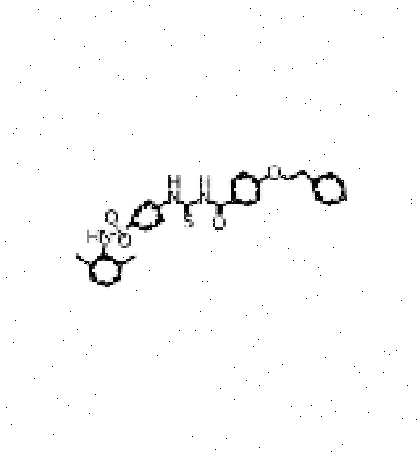 Cc1cccc(C)c1NS(=O)(=O)c1ccc(NC(=S)NC(=O)c2ccc(OCCc3ccccc3)cc2)cc1